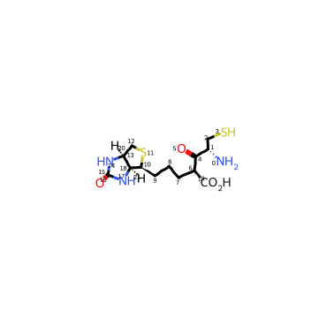 N[C@@H](CS)C(=O)C(CCC[C@@H]1SC[C@@H]2NC(=O)N[C@@H]21)C(=O)O